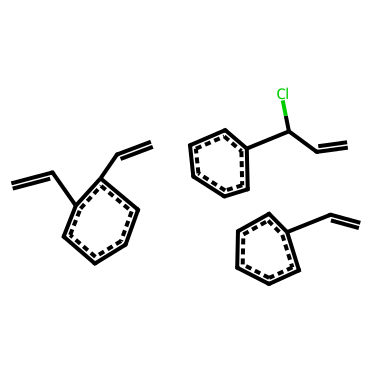 C=CC(Cl)c1ccccc1.C=Cc1ccccc1.C=Cc1ccccc1C=C